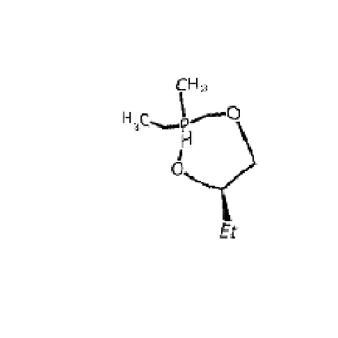 CC[C@@H]1CO[PH](C)(C)O1